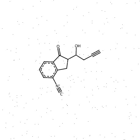 [C-]#[N+]c1cccc2c1CC(C(O)CC#C)C2=O